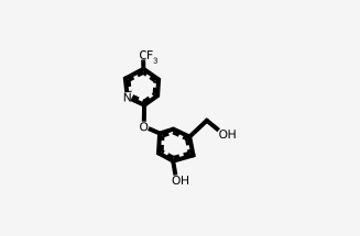 OCc1cc(O)cc(Oc2ccc(C(F)(F)F)cn2)c1